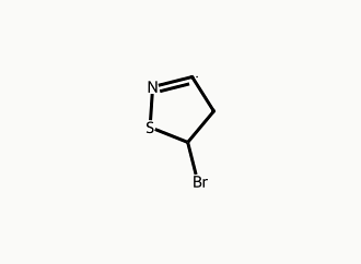 BrC1C[C]=NS1